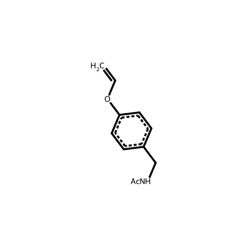 C=COc1ccc(CNC(C)=O)cc1